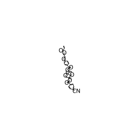 C=CC(=O)OCCOc1ccc(C(=O)O[C@H]2COC3[C@H](OC(=O)c4ccc(C#N)cc4)COC32I)cc1